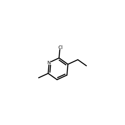 CCc1ccc(C)nc1Cl